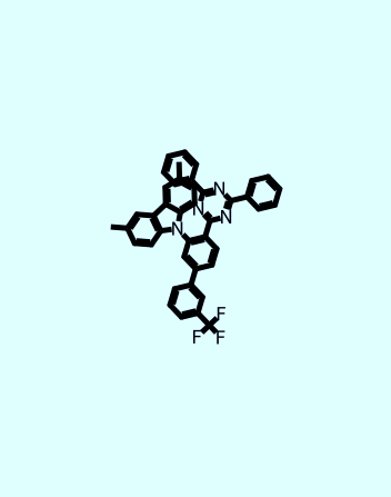 Cc1ccc2c(c1)c1cc(C)ccc1n2-c1cc(-c2cccc(C(F)(F)F)c2)ccc1-c1nc(-c2ccccc2)nc(-c2ccccc2)n1